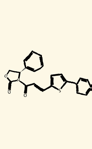 O=C(/C=C/c1ccc(-c2ccccc2)s1)N1C(=O)OC[C@@H]1c1ccccc1